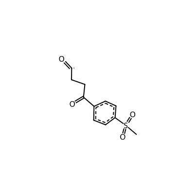 CS(=O)(=O)c1ccc(C(=O)CC[C]=O)cc1